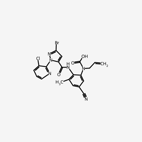 C=CCN(C(=O)O)c1cc(C#N)cc(C)c1NC(=O)c1cc(Br)nn1-c1ncccc1Cl